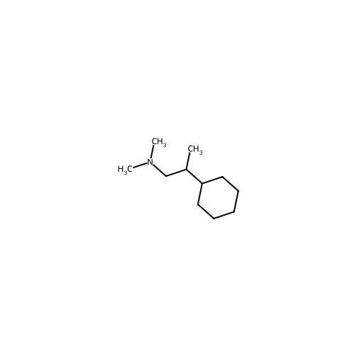 CC(CN(C)C)C1CCCCC1